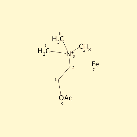 CC(=O)OCC[N+](C)(C)C.[Fe]